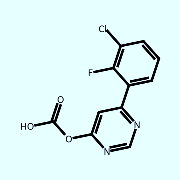 O=C(O)Oc1cc(-c2cccc(Cl)c2F)ncn1